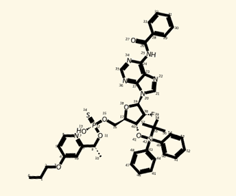 CCCOc1ccnc([C@@H](C)O[P@@](O)(=S)OC[C@H]2O[C@@H](n3cnc4c(NC(=O)c5ccccc5)ncnc43)[C@H](F)[C@@H]2O[Si](c2ccccc2)(c2ccccc2)C(C)(C)C)c1